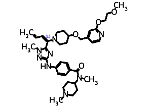 C=C/C=C(\c1nc(Nc2ccc(C(=O)N(C)C3CCN(C)CC3)cc2)nn1C)N1CCC(OCc2ccnc(OCCOC)c2)CC1